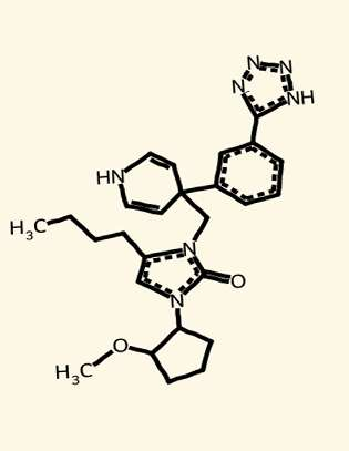 CCCCc1cn(C2CCCC2OC)c(=O)n1CC1(c2cccc(-c3nnn[nH]3)c2)C=CNC=C1